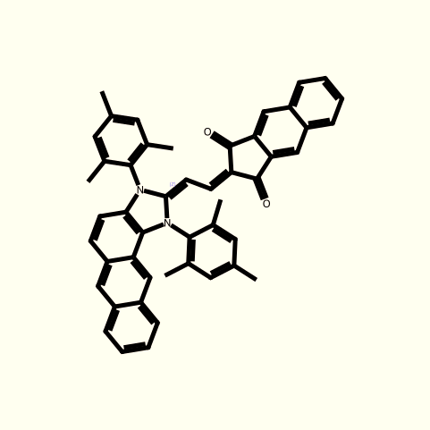 Cc1cc(C)c(N2/C(=C/C=C3C(=O)c4cc5ccccc5cc4C3=O)N(c3c(C)cc(C)cc3C)c3c2ccc2cc4ccccc4cc32)c(C)c1